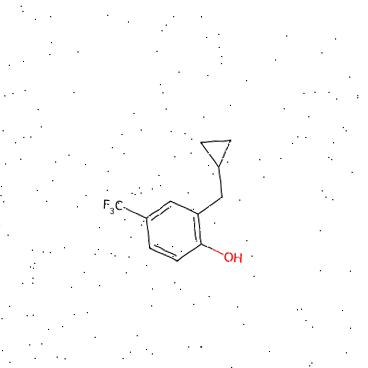 Oc1ccc(C(F)(F)F)cc1CC1CC1